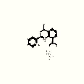 CC(C)c1cccc(C(C)C)c1N=Cc1ccccn1.[Cl-].[Cl-].[Ni+2]